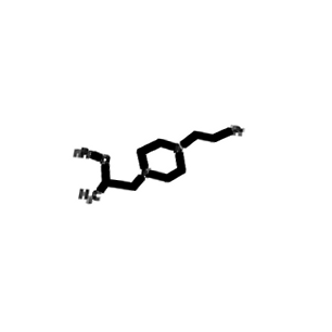 CCCOC(C)CN1CCN(CCC(C)C)CC1